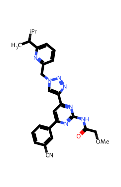 COCC(=O)Nc1nc(-c2cccc(C#N)c2)cc(-c2cn(Cc3cccc(C(C)C(C)C)n3)nn2)n1